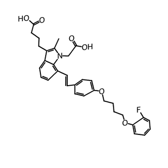 Cc1c(CCCC(=O)O)c2cccc(C=Cc3ccc(OCCCCOc4ccccc4F)cc3)c2n1CC(=O)O